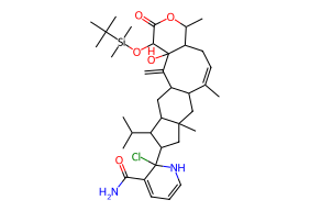 C=C1C2CC3C(C(C)C)C(C4(Cl)NC=CC=C4C(N)=O)CC3(C)CC2/C(C)=C\CC2C(C)OC(=O)C(O[Si](C)(C)C(C)(C)C)C12O